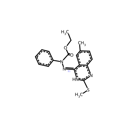 CCOC(=O)N(/N=c1/[nH]c(SC)nc2ccc(C)cc12)c1ccccc1